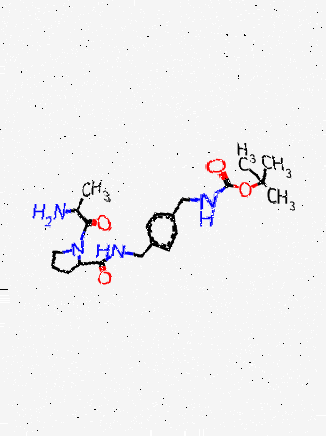 CC(N)C(=O)N1CCCC1C(=O)NCc1ccc(CNC(=O)OC(C)(C)C)cc1